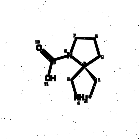 CC[C@@]1(CN)CCCN1C(=O)O